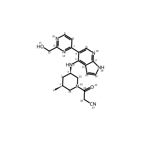 C[C@H]1C[C@@H](Nc2c(-c3ccnc(CO)n3)cnc3[nH]ccc23)CN(C(=O)CC#N)C1